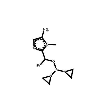 CC(C)C(OP(N1CC1)N1CC1)c1ncc([N+](=O)[O-])n1C